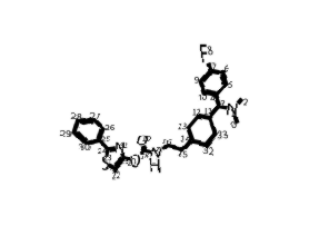 CN(C)C(c1ccc(F)cc1)C1CCC(CCNC(=O)Oc2csc(-c3ccccc3)n2)CC1